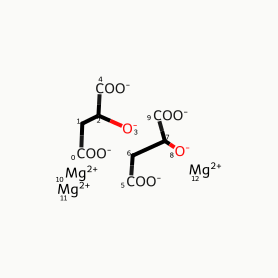 O=C([O-])CC([O-])C(=O)[O-].O=C([O-])CC([O-])C(=O)[O-].[Mg+2].[Mg+2].[Mg+2]